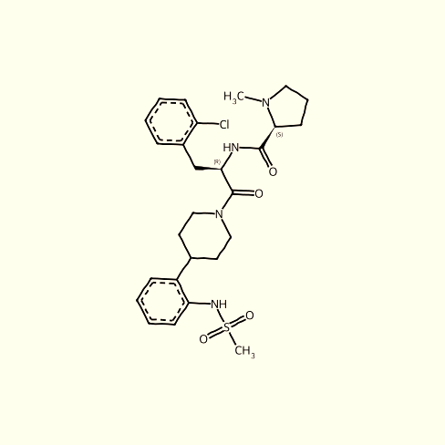 CN1CCC[C@H]1C(=O)N[C@H](Cc1ccccc1Cl)C(=O)N1CCC(c2ccccc2NS(C)(=O)=O)CC1